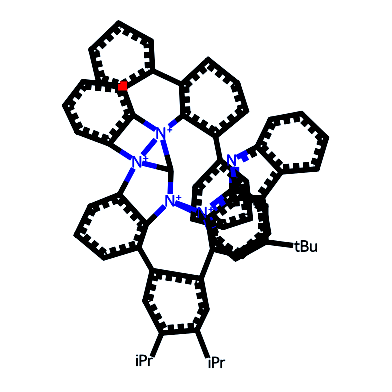 CC(C)c1cc2c(cc1C(C)C)-c1ccc3c4ccccc4n4c3c1[N+]1(c3c-2cccc3[N+]23c5ccccc5[N+]2(c2c(-c5ccccc5)cccc2-c2ccccc2)C13)[n+]1ccc(C(C)(C)C)cc1-4